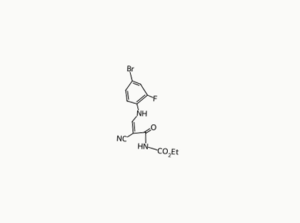 CCOC(=O)NC(=O)C(C#N)=CNc1ccc(Br)cc1F